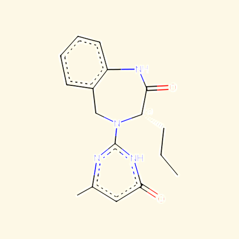 CCC[C@H]1C(=O)Nc2ccccc2CN1c1nc(C)cc(=O)[nH]1